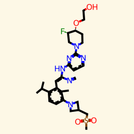 C=N/C(=C\c1c(C(C)C)ccc(N2CC(CS(C)(=O)=O)C2)c1C)Nc1ccnc(N2CC[C@@H](OCCO)[C@@H](F)C2)n1